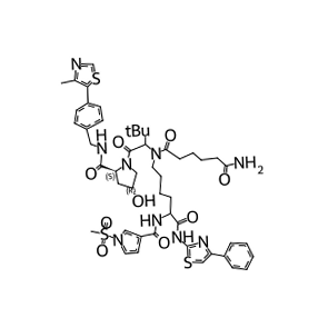 Cc1ncsc1-c1ccc(CNC(=O)[C@@H]2C[C@@H](O)CN2C(=O)C(N(CCCCC(NC(=O)c2ccn(S(C)(=O)=O)c2)C(=O)Nc2nc(-c3ccccc3)cs2)C(=O)CCCCC(N)=O)C(C)(C)C)cc1